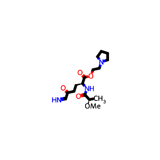 CO[C@@H](C)C(=O)N[C@@H](CCC(=O)C=N)C(=O)OCCN1CCCC1